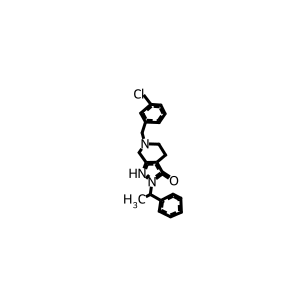 CC(c1ccccc1)n1[nH]c2c(c1=O)CCN(Cc1cccc(Cl)c1)C2